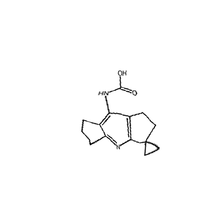 O=C(O)Nc1c2c(nc3c1CCC31CC1)CCC2